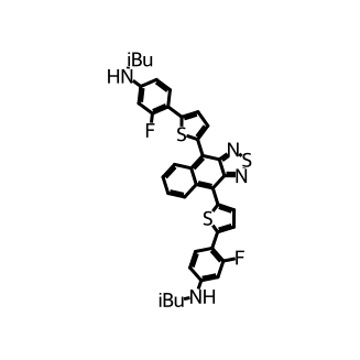 CCC(C)Nc1ccc(-c2ccc(-c3c4ccccc4c(-c4ccc(-c5ccc(NC(C)CC)cc5F)s4)c4nsnc34)s2)c(F)c1